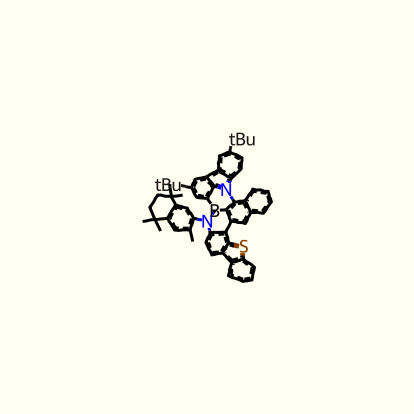 Cc1cc2c(cc1N1B3c4c(cc5ccccc5c4-n4c5ccc(C(C)(C)C)cc5c5cc(C(C)(C)C)cc3c54)-c3c1ccc1c3sc3ccccc31)C(C)(C)CCC2(C)C